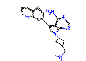 CN(C)CC1CC(n2cc(-c3ccc4cccnc4c3)c3c(N)ncnc32)C1